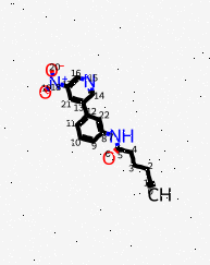 C#CCCCC(=O)Nc1cccc(-c2cncc([N+](=O)[O-])c2)c1